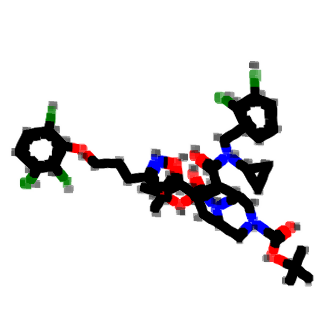 CC(C)(C)OC(=O)N1CC2CC(c3cc(CCCOc4c(F)ccc(Cl)c4F)no3)=C(C(=O)N(Cc3cccc(Cl)c3Cl)C3CC3)C(C1)N2C(=O)OC(C)(C)C